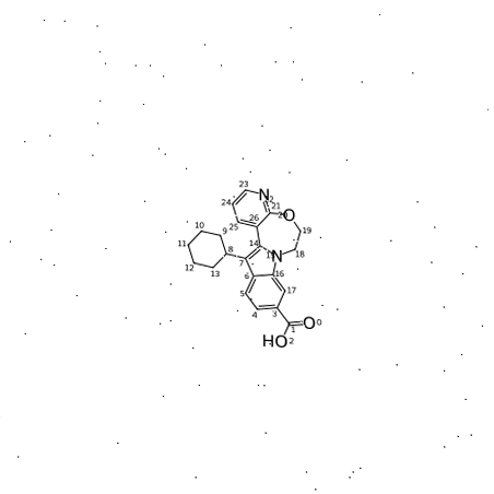 O=C(O)c1ccc2c(C3CCCCC3)c3n(c2c1)CCOc1ncccc1-3